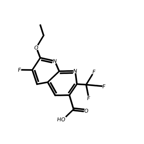 CCOc1nc2nc(C(F)(F)F)c(C(=O)O)cc2cc1F